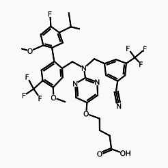 COc1cc(F)c(C(C)C)cc1-c1cc(C(F)(F)F)c(OC)cc1CN(Cc1cc(C#N)cc(C(F)(F)F)c1)c1ncc(OCCCC(=O)O)cn1